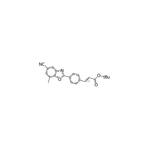 Cc1cc(C#N)cc2nc(-c3ccc(/C=C/C(=O)OC(C)(C)C)cc3)oc12